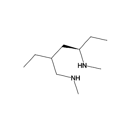 CCC(CNC)C[C@@H](CC)NC